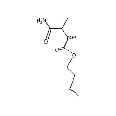 CCCCOC(=O)NC(C)C(N)=O